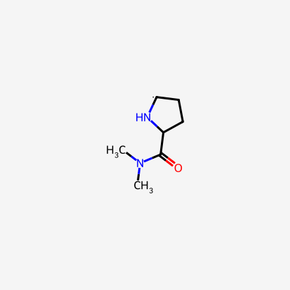 CN(C)C(=O)C1CC[CH]N1